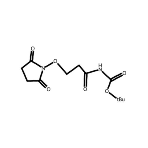 CC(C)(C)OC(=O)NC(=O)CCON1C(=O)CCC1=O